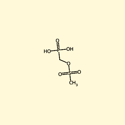 CS(=O)(=O)OCP(=O)(O)O